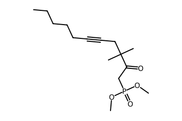 CCCCCC#CCC(C)(C)C(=O)CP(=O)(OC)OC